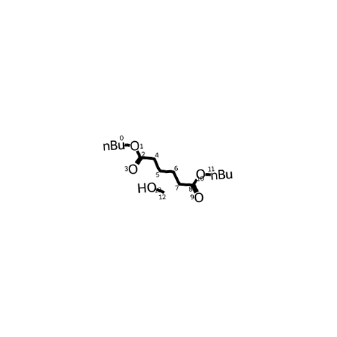 CCCCOC(=O)CCCCC(=O)OCCCC.CO